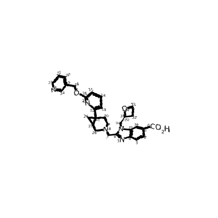 O=C(O)c1ccc2nc(CN3CCC4(c5cccc(OCc6cccnc6)n5)CC4C3)n(C[C@@H]3CCO3)c2c1